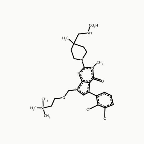 Cn1c(N2CCC(C)(CNC(=O)O)CC2)nc2c(c(-c3cccc(Cl)c3Cl)cn2COCC[Si](C)(C)C)c1=O